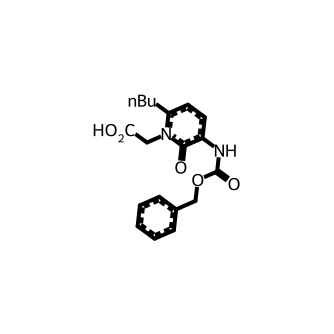 CCCCc1ccc(NC(=O)OCc2ccccc2)c(=O)n1CC(=O)O